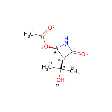 CC(=O)O[C@H]1NC(=O)[C@H]1C(C)(C)O